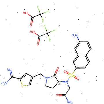 N=C(N)c1cc(CN2CC[C@H](N(CC(N)=O)S(=O)(=O)c3ccc4ccc(N)cc4c3)C2=O)cs1.O=C(O)C(F)(F)F.O=C(O)C(F)(F)F